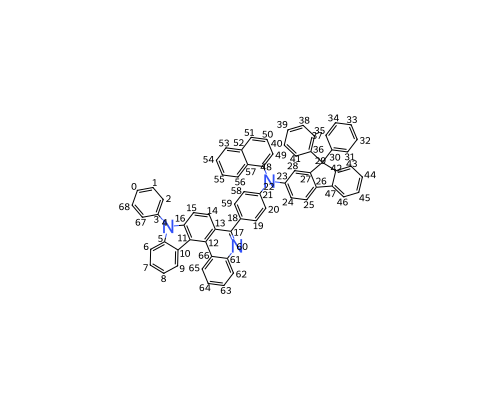 c1ccc(-n2c3ccccc3c3c4c(ccc32)c(-c2ccc(N(c3ccc5c(c3)C(c3ccccc3)(c3ccccc3)c3ccccc3-5)c3cccc5ccccc35)cc2)nc2ccccc24)cc1